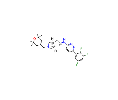 CC1(C)CC(CN2C[C@H]3C[C@@H](Nc4ccc(-c5cc(F)cc(F)c5F)nn4)C[C@H]3C2)CC(C)(C)O1